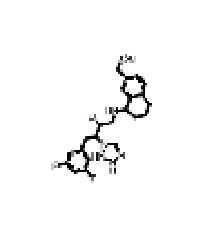 CC(C)(C)Cc1ccc2c(c1)C(NCC(O)C(Cc1cc(F)cc(F)c1)N1C=NNN1)CCC2